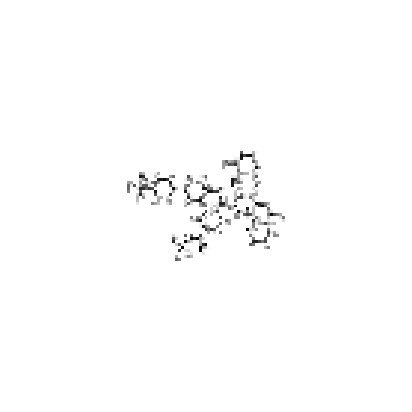 C=C1C=C(SCc2cccc(F)c2F)N(CC(=O)N(Cc2ccc(-c3ccc(C(F)(F)F)cc3)cc2)C2CCN(C(=O)OC(C)(C)C)CC2)c2ncccc21